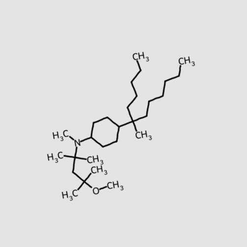 CCCCCCC(C)(CCCCC)C1CCC(N(C)C(C)(C)CC(C)(C)OC)CC1